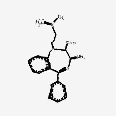 CN(C)CCN1c2ccccc2C(c2ccccc2)=NC(N)C1C=O